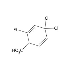 CCC1=CC(Cl)(Cl)C=CC1C(=O)O